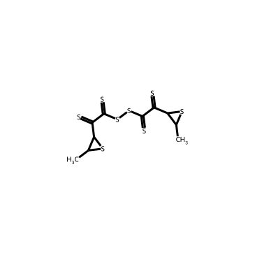 CC1SC1C(=S)C(=S)SSC(=S)C(=S)C1SC1C